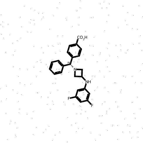 O=C(O)c1ccc([C@@H](c2ccccc2)N2CC(Nc3cc(F)cc(F)c3)C2)cc1